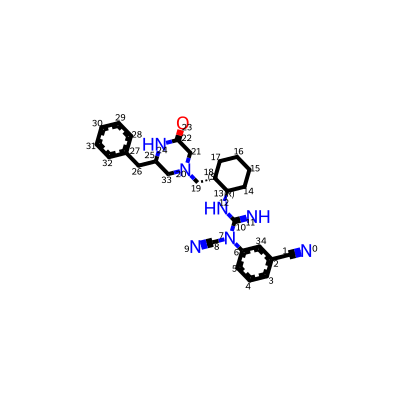 N#Cc1cccc(N(C#N)C(=N)N[C@@H]2CCCC[C@H]2CN2CC(=O)NC(Cc3ccccc3)C2)c1